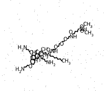 CCCCCCCCN(CCC[C@@H](C)[C@H]1CC[C@H]2C3[C@H](OCCCN)CC4C[C@H](OCCCN)CC[C@]4(C)[C@H]3C[C@H](OCCCN)C12C)C(=O)NCCOCCOCCOCCNC(=O)CCCC[SiH](OCC)OCC